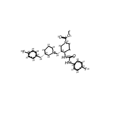 COC(=O)N1CC[C@@H](NC(=O)Nc2ccc(F)cc2)[C@H](CN2CCC[C@@H](Cc3ccc(F)cc3)C2)C1